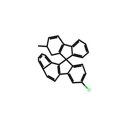 CC1C=CC2=C(C1)C1(c3ccccc32)c2ccc(Cl)cc2-c2ccc3ccccc3c21